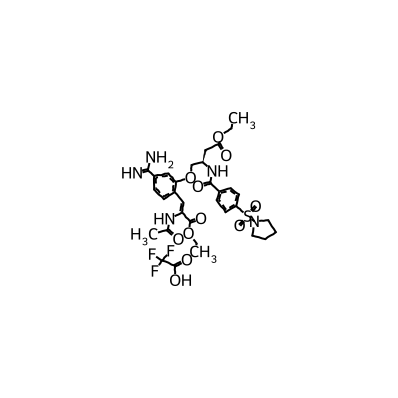 CCOC(=O)C[C@H](COc1cc(C(=N)N)ccc1C=C(NC(C)=O)C(=O)OCC)NC(=O)c1ccc(S(=O)(=O)N2CCCC2)cc1.O=C(O)C(F)(F)F